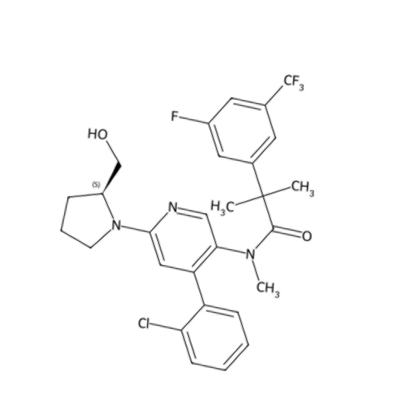 CN(C(=O)C(C)(C)c1cc(F)cc(C(F)(F)F)c1)c1cnc(N2CCC[C@H]2CO)cc1-c1ccccc1Cl